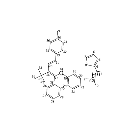 C[SiH](C)[Ti][C]1=CC=CC1.Cc1ccc(C=CC(=C(Oc2ccccc2)c2ccccc2)C(C)(C)C)cc1